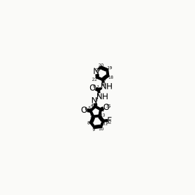 O=C(NN=c1c(=O)c2cccc(F)c2c1=O)Nc1cccnc1